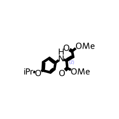 COC(=O)/C=C(\Nc1ccc(OC(C)C)cc1)C(=O)OC